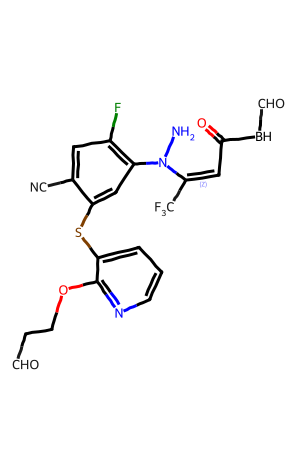 N#Cc1cc(F)c(N(N)/C(=C\C(=O)BC=O)C(F)(F)F)cc1Sc1cccnc1OCCC=O